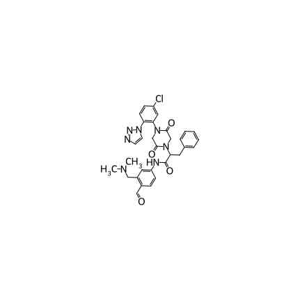 CN(C)Cc1cc(NC(=O)C(Cc2ccccc2)N2CC(=O)N(c3cc(Cl)ccc3-n3ccnn3)CC2=O)ccc1C=O